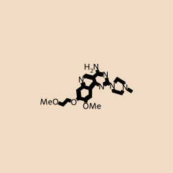 COCCOc1cc2ncc3c(N)nc(N4CCN(C)CC4)nc3c2cc1OC